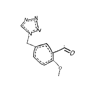 COc1ccc(Cn2cnnn2)cc1[C]=O